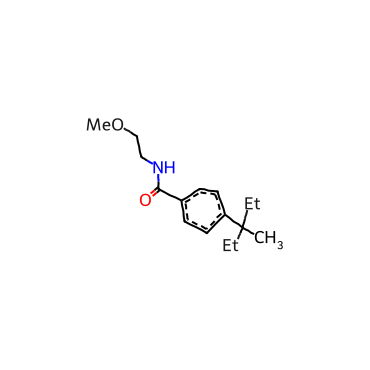 CCC(C)(CC)c1ccc(C(=O)NCCOC)cc1